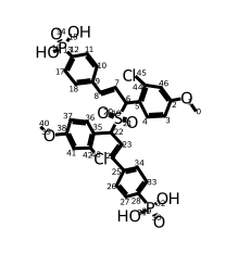 COc1ccc(C(C=Cc2ccc(P(=O)(O)O)cc2)S(=O)(=O)C(C=Cc2ccc(P(=O)(O)O)cc2)c2ccc(OC)cc2Cl)c(Cl)c1